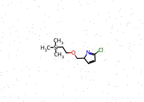 C[Si](C)(C)CCOCC1C=CC(Cl)=N1